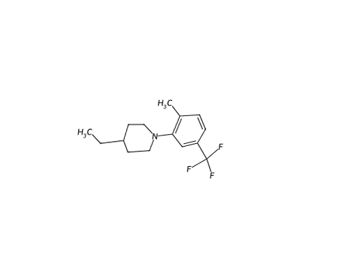 CCC1CCN(c2cc(C(F)(F)F)ccc2C)CC1